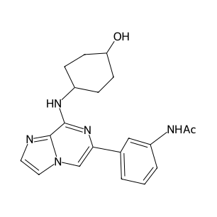 CC(=O)Nc1cccc(-c2cn3ccnc3c(NC3CCC(O)CC3)n2)c1